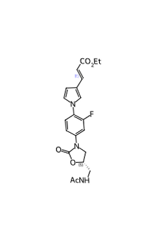 CCOC(=O)/C=C/c1ccn(-c2ccc(N3C[C@H](CNC(C)=O)OC3=O)cc2F)c1